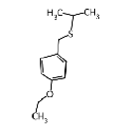 CCOc1ccc(CSC(C)C)cc1